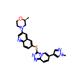 C[C@H]1CN(c2cnc3ccc(Sc4nnc5ccc(-c6cnn(C)c6)cn45)cc3c2)CCO1